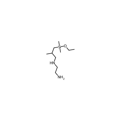 CCO[Si](C)(C)CC(C)CNCCN